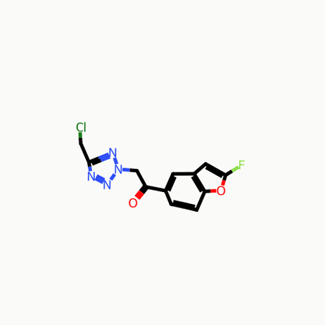 O=C(Cn1nnc(CCl)n1)c1ccc2oc(F)cc2c1